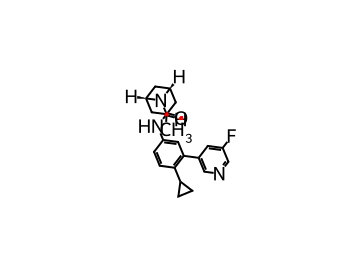 C[C@H]1C[C@@H]2C[C@H](C1)N2C(=O)Nc1ccc(C2CC2)c(-c2cncc(F)c2)c1